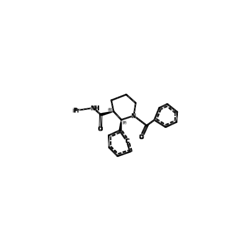 CC(C)NC(=O)[C@H]1CCCN(C(=O)c2ccccc2)[C@H]1c1ccccc1